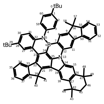 CC(C)(C)c1ccc(N2B3c4cc5c(cc4-n4c6cc7c(cc6c6c8c(c(c3c64)-c3cc(C(C)(C)C)ccc32)-c2ccccc2C8(C)C)C(C)(C)CCC7(C)C)-c2ccccc2C5(C)C)cc1